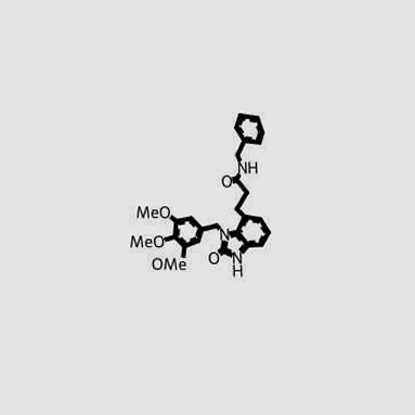 COc1cc(Cn2c(=O)[nH]c3cccc(CCC(=O)NCc4ccccc4)c32)cc(OC)c1OC